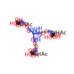 CC(=O)N[C@@H]1[C@@H](O)[C@@H](O)[C@@H](CO)O[C@@H]1c1ccn(CCOCCOCCNC(=O)NCCCC(N)(CCCNC(=O)NCCOCCOCCn2ccc([C@H]3O[C@H](CO)[C@H](O)[C@H](O)[C@H]3NC(C)=O)n2)CCCNC(=O)NCCOCCOCCn2ccc([C@H]3O[C@H](CO)[C@H](O)[C@H](O)[C@H]3NC(C)=O)n2)n1